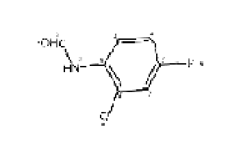 O=[C]Nc1ccc(F)cc1Cl